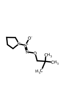 CC(C)(C)CO/N=[N+](\[O-])N1CCCC1